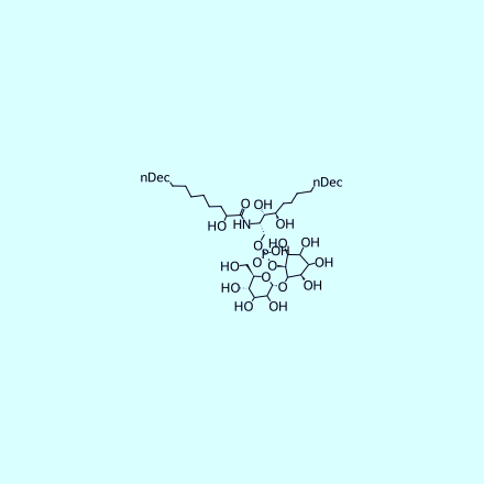 CCCCCCCCCCCCCCCCC(O)C(=O)N[C@@H](COP(=O)(O)O[C@H]1C(O)C(O)C(O)[C@@H](O)C1O[C@H]1O[C@H](CO)[C@@H](O)C(O)C1O)[C@H](O)[C@H](O)CCCCCCCCCCCCCC